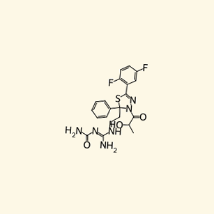 CC(O)C(=O)N1N=C(c2cc(F)ccc2F)SC1(CCNC(N)=NC(N)=O)c1ccccc1